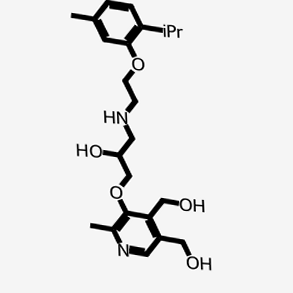 Cc1ccc(C(C)C)c(OCCNCC(O)COc2c(C)ncc(CO)c2CO)c1